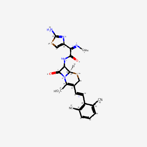 CO/N=C(\C(=O)NC1C(=O)N2C(C(=O)O)=C(/C=C/c3c(C#N)cccc3C#N)CS[C@H]12)c1csc(N)n1